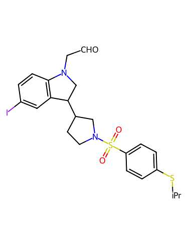 CC(C)Sc1ccc(S(=O)(=O)N2CCC(C3CN(CC=O)c4ccc(I)cc43)C2)cc1